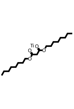 CCCCCCCCOC(=O)CC(=O)OCCCCCCCC.[Ti]